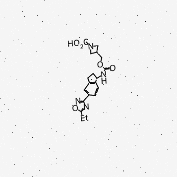 CCc1nc(-c2ccc3c(c2)CCC3NC(=O)OCC2CN(C(=O)O)C2)no1